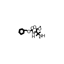 CNC(C)(C)C(NC(=O)OCc1ccccc1)C(=O)OC